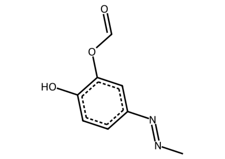 CN=Nc1ccc(O)c(OC=O)c1